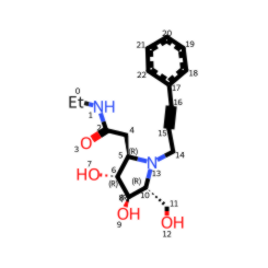 CCNC(=O)C[C@@H]1[C@@H](O)[C@H](O)[C@@H](CO)N1CC#Cc1ccccc1